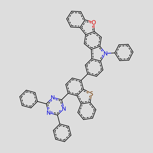 c1ccc(-c2nc(-c3ccccc3)nc(-c3ccc(-c4ccc5c(c4)c4cc6c(cc4n5-c4ccccc4)oc4ccccc46)c4sc5ccccc5c34)n2)cc1